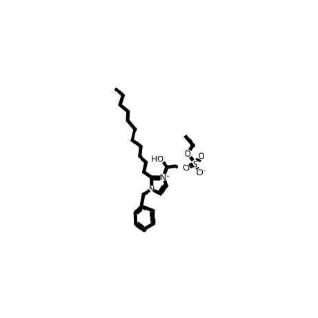 CCCCCCCCCCCc1n(Cc2ccccc2)cc[n+]1C(C)O.CCOS(=O)(=O)[O-]